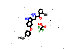 N#CC1CCCC1C(=O)C(N)Cc1c[nH]c2ccc(Oc3ccc(C(=O)O)cc3)cc12.O=C(O)C(F)(F)F